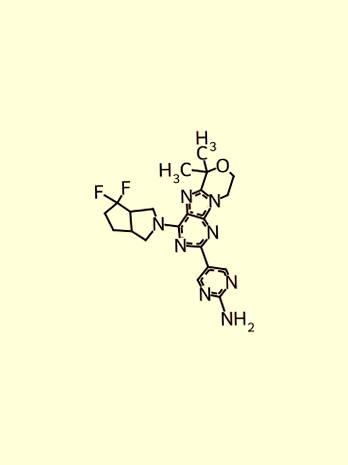 CC1(C)OCCn2c1nc1c(N3CC4CCC(F)(F)C4C3)nc(-c3cnc(N)nc3)nc12